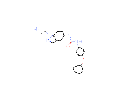 CN(C)CCn1ncc2cc(NC(=O)Nc3ccc(Oc4ccccc4)cc3)ccc21